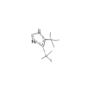 CC(C)(C)c1[nH]cnc1C(C)(C)I